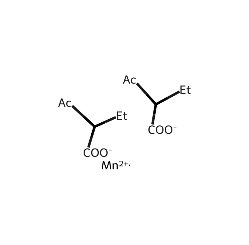 CCC(C(C)=O)C(=O)[O-].CCC(C(C)=O)C(=O)[O-].[Mn+2]